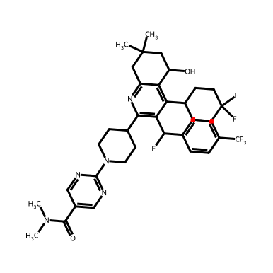 CN(C)C(=O)c1cnc(N2CCC(c3nc4c(c(C5CCC(F)(F)CC5)c3C(F)c3ccc(C(F)(F)F)cc3)C(O)CC(C)(C)C4)CC2)nc1